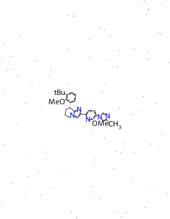 COc1nc(-c2cn3c(n2)[C@@H](c2cccc(C(C)(C)C)c2OC)CCC3)ccc1-n1cnc(C)c1